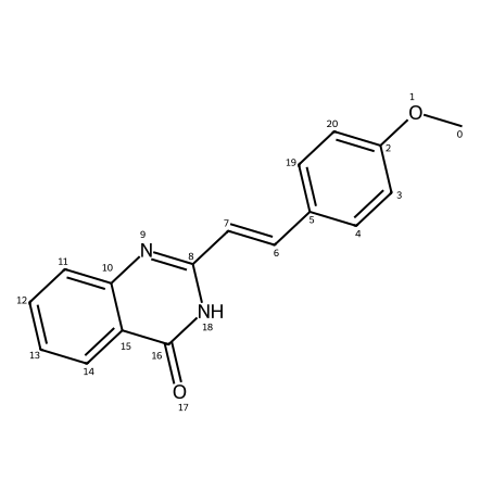 COc1ccc(/C=C/c2nc3ccccc3c(=O)[nH]2)cc1